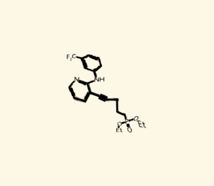 CCOP(=O)(CCCC#Cc1cccnc1Nc1cccc(C(F)(F)F)c1)OCC